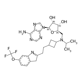 CC(C)N(C[C@H]1O[C@@H](n2cnc3c(N)ncnc32)[C@H](O)[C@@H]1O)C1CC(CCC2=Nc3cc(OC(F)(F)F)ccc3C2)C1